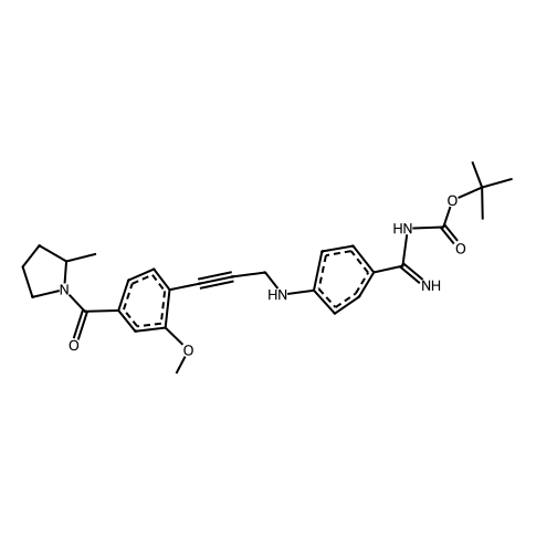 COc1cc(C(=O)N2CCCC2C)ccc1C#CCNc1ccc(C(=N)NC(=O)OC(C)(C)C)cc1